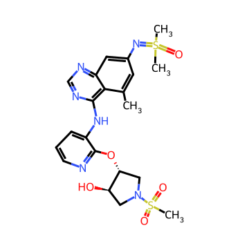 Cc1cc(N=S(C)(C)=O)cc2ncnc(Nc3cccnc3O[C@@H]3CN(S(C)(=O)=O)C[C@H]3O)c12